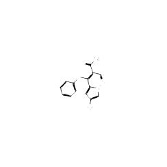 NC(=O)c1cnn2cc(N=O)cc2c1Nc1ccccc1